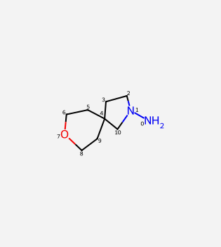 NN1CCC2(CCOCC2)C1